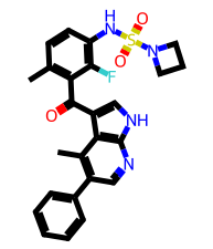 Cc1ccc(NS(=O)(=O)N2CCC2)c(F)c1C(=O)c1c[nH]c2ncc(-c3ccccc3)c(C)c12